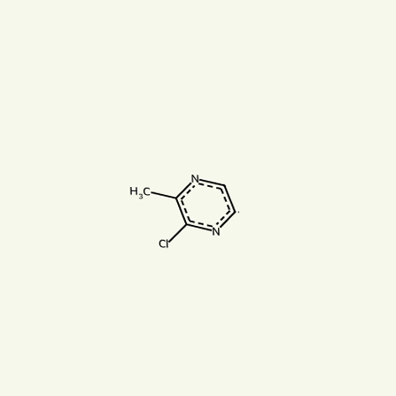 Cc1nc[c]nc1Cl